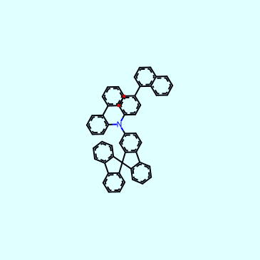 c1ccc(-c2ccccc2N(c2ccc(-c3cccc4ccccc34)cc2)c2ccc3c(c2)C2(c4ccccc4-c4ccccc42)c2ccccc2-3)cc1